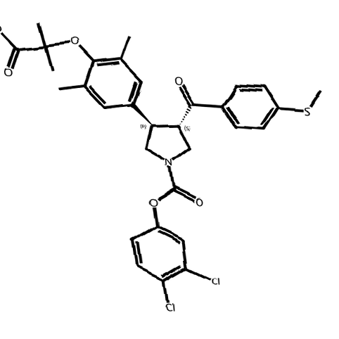 CSc1ccc(C(=O)[C@@H]2CN(C(=O)Oc3ccc(Cl)c(Cl)c3)C[C@H]2c2cc(C)c(OC(C)(C)C(=O)O)c(C)c2)cc1